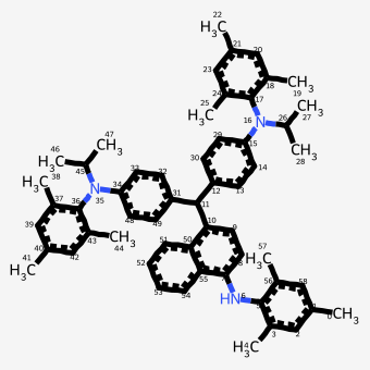 Cc1cc(C)c(Nc2ccc(C(c3ccc(N(c4c(C)cc(C)cc4C)C(C)C)cc3)c3ccc(N(c4c(C)cc(C)cc4C)C(C)C)cc3)c3ccccc23)c(C)c1